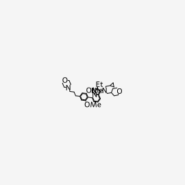 CCc1nn2c(-c3c(OC)cc(CCCN4CCOCC4)cc3OC)cccc2c1N(CC1CCOCC1)CC1CC1